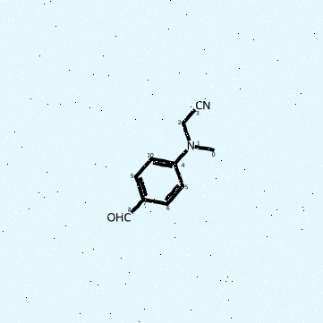 CN(CC#N)c1ccc(C=O)cc1